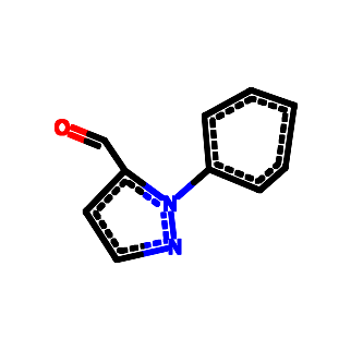 O=Cc1ccnn1-c1ccccc1